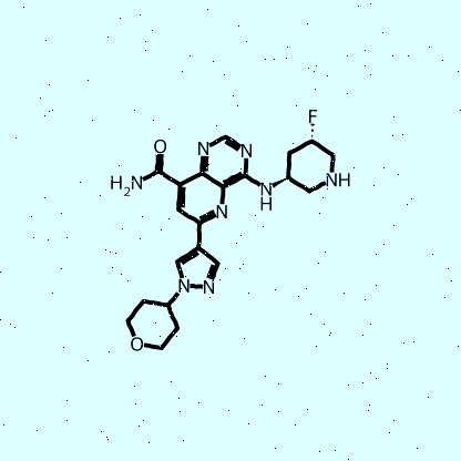 NC(=O)c1cc(-c2cnn(C3CCOCC3)c2)nc2c(N[C@@H]3CNC[C@@H](F)C3)ncnc12